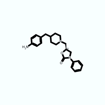 Nc1ccc(CC2CCN(C[C@H]3CN(c4ccccc4)C(=O)O3)CC2)cc1